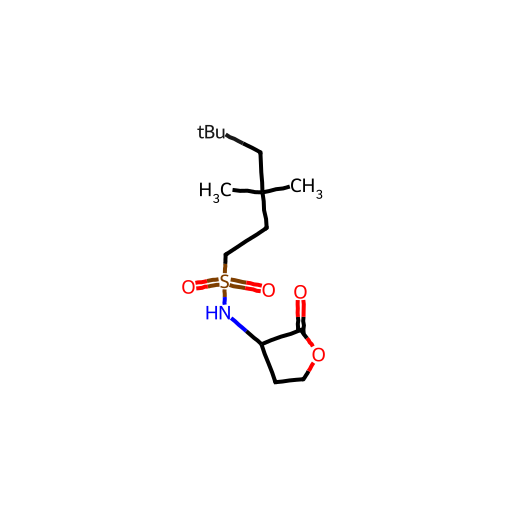 CC(C)(C)CC(C)(C)CCS(=O)(=O)NC1CCOC1=O